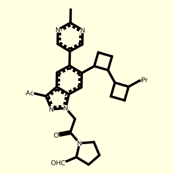 CC(=O)c1nn(CC(=O)N2CCCC2C=O)c2cc(C3CCC3C3CCC3C(C)C)c(-c3cnc(C)nc3)cc12